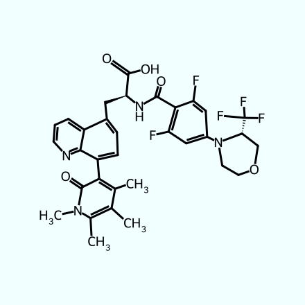 Cc1c(C)c(C)n(C)c(=O)c1-c1ccc(C[C@H](NC(=O)c2c(F)cc(N3CCOC[C@H]3C(F)(F)F)cc2F)C(=O)O)c2cccnc12